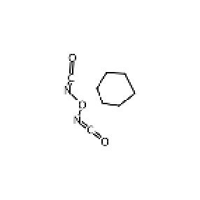 C1CCCCC1.O=C=NON=C=O